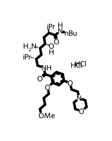 CCCCNC(=O)[C@@H](C[C@H](O)[C@@H](N)C[C@H](CNC(=O)c1ccc(OCCN2CCOCC2)cc1OCCCCOC)C(C)C)C(C)C.Cl.Cl